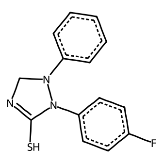 Fc1ccc(N2C(S)=NCN2c2ccccc2)cc1